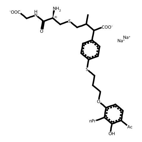 CCCc1c(OCCCSc2ccc(C(C(=O)[O-])C(C)CSC[C@H](N)C(=O)NCC(=O)[O-])cc2)ccc(C(C)=O)c1O.[Na+].[Na+]